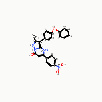 Cc1nn2c(=O)cc(-c3ccc([N+](=O)[O-])cc3)[nH]c2c1-c1ccc(Oc2ccccc2)cc1